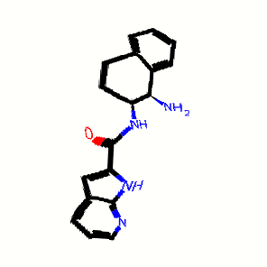 N[C@@H]1c2ccccc2CC[C@@H]1NC(=O)c1cc2cccnc2[nH]1